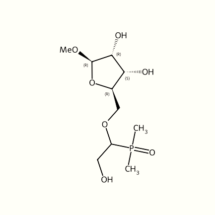 CO[C@@H]1O[C@H](COC(CO)P(C)(C)=O)[C@@H](O)[C@H]1O